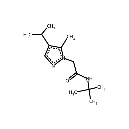 Cc1c(C(C)C)cnn1CC(=O)NC(C)(C)C